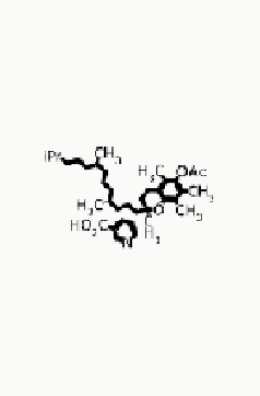 CC(=O)Oc1c(C)c(C)c2c(c1C)CC[C@@](C)(CCC[C@H](C)CCC[C@H](C)CCCC(C)C)O2.O=C(O)c1cccnc1